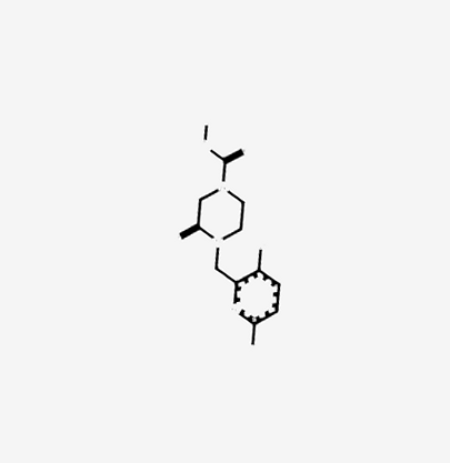 CC(C)(C)OC(=O)N1CCN(Cc2nc(O)ccc2Br)C(=O)C1